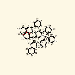 c1ccc(-c2cc3c(cc2-c2cc4c(cc2N(c2ccccc2)c2ccc5c(c2)CCCC5)C(c2ccccc2)(c2ccccc2)c2ccccc2-4)CCCC3)cc1